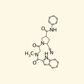 CN(CC(=O)N1CC(C(=O)Nc2ccccc2)CC1C#N)C(=O)c1cc2ccccc2[nH]1